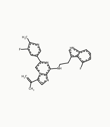 C=C(C)c1cnc2c(NCCc3c[nH]c4cccc(F)c34)nc(-c3cnc(C)c(F)c3)cn12